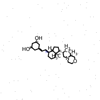 CC(CN1CCOC[C@@H]1C)[C@H]1CC[C@H]2/C(=C/C=C3C[C@@H](O)C[C@H](O)C3)CCC[C@]12C